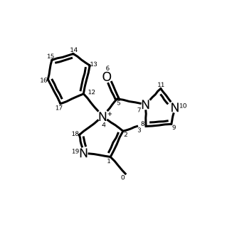 CC1=C(C)[N+](C(=O)n2ccnc2)(c2ccccc2)C=N1